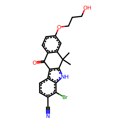 CC1(C)c2cc(OCCCO)ccc2C(=O)c2c1[nH]c1c(Br)c(C#N)ccc21